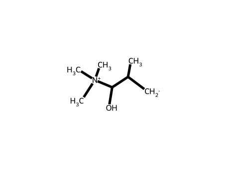 [CH2]C(C)C(O)[N+](C)(C)C